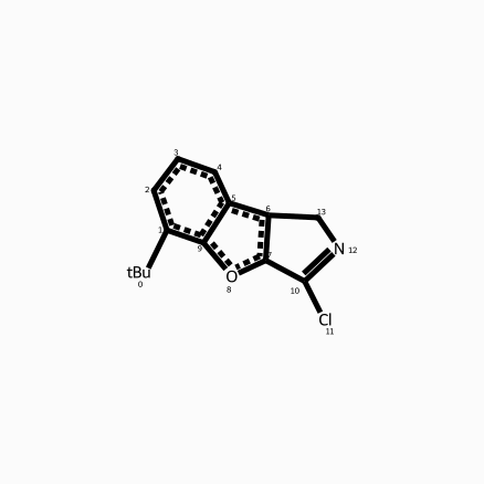 CC(C)(C)c1cccc2c3c(oc12)C(Cl)=NC3